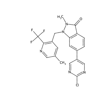 Cc1cnc(C(F)(F)F)c(Cn2c3cc(-c4cnc(Cl)nc4)ccc3c(=O)n2C)c1